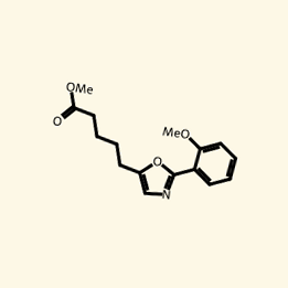 COC(=O)CCCCc1cnc(-c2ccccc2OC)o1